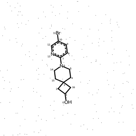 OC1CC2(CCN(c3ccc(Br)cn3)CC2)C1